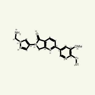 CCOc1ncc(-c2ccc3c(n2)CN(c2cnn(CN)c2)C3=O)cc1OC